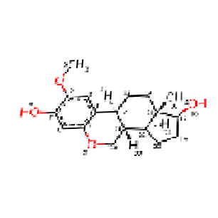 COc1cc2c(cc1O)OC[C@@H]1[C@@H]2CC[C@]2(C)[C@@H](O)CC[C@@H]12